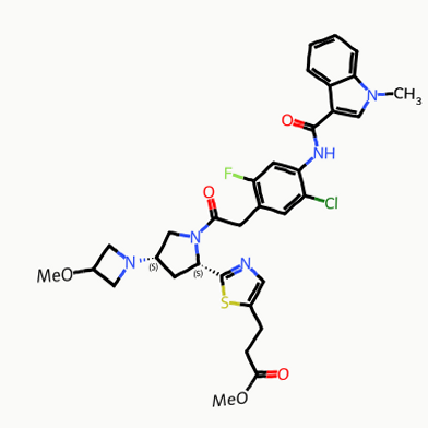 COC(=O)CCc1cnc([C@@H]2C[C@H](N3CC(OC)C3)CN2C(=O)Cc2cc(Cl)c(NC(=O)c3cn(C)c4ccccc34)cc2F)s1